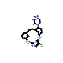 C[N+]1(C)CCN(c2ccc3cc2CCc2cccc(c2)Nc2ncc(Cl)c(n2)N3)CC1